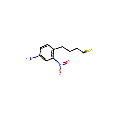 Nc1ccc(CCCC=S)c([N+](=O)[O-])c1